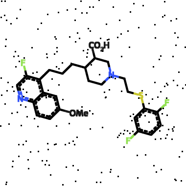 COc1ccc2ncc(F)c(CCCC3CCN(CCSc4cc(F)ccc4F)CC3C(=O)O)c2c1